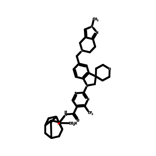 Cn1cc2c(n1)CCN(Cc1ccc3c(c1)C1(CCOCC1)CN3c1ncc(C(=O)NC3(C(=O)O)C4CCC5CC(C4)CC3C5)c(C(F)(F)F)n1)C2